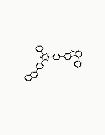 c1ccc(-c2nc(-c3ccc(-c4ccc5ccccc5c4)cc3)nc(-c3ccc(-c4ccc5c(c4)sc4cccc(-c6ccccc6)c45)cc3)n2)cc1